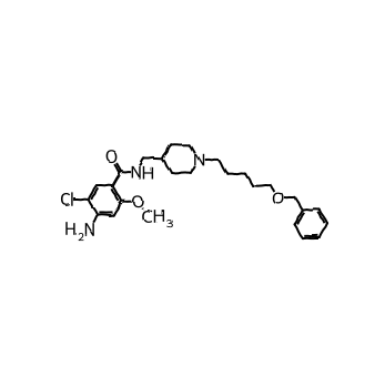 COc1cc(N)c(Cl)cc1C(=O)NCC1CCN(CCCCCOCc2ccccc2)CC1